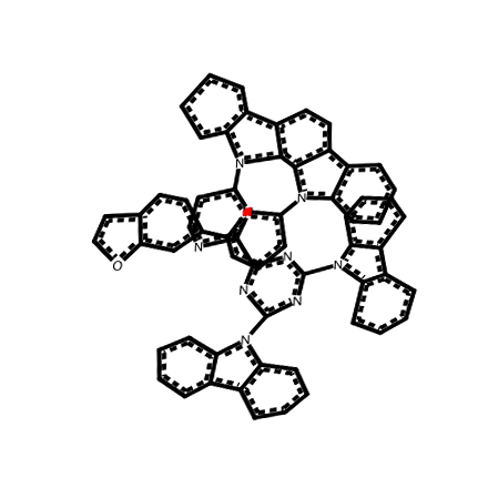 c1cc(-c2ccc3ccoc3c2)nc(-n2c3ccccc3c3ccc4c5ccccc5n(-c5ccnc(-c6nc(-n7c8ccccc8c8ccccc87)nc(-n7c8ccccc8c8ccccc87)n6)n5)c4c32)c1